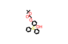 CC(C)(C)OC(=O)COc1ccc(O)c([S+](c2ccccc2)c2ccccc2)c1